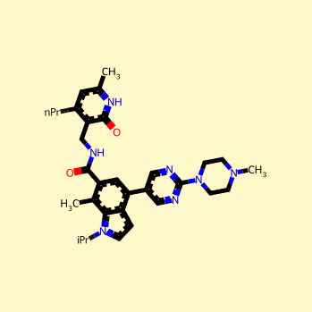 CCCc1cc(C)[nH]c(=O)c1CNC(=O)c1cc(-c2cnc(N3CCN(C)CC3)nc2)c2ccn(C(C)C)c2c1C